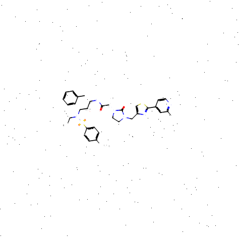 CCc1cc(-c2nc(CN3CCN([C@H](C(=O)N[C@@H](Cc4ccccc4)[C@@H](O)CN(CC(C)C)S(=O)(=O)c4ccc(OC)cc4)[C@@H](C)CC)C3=O)cs2)ccn1